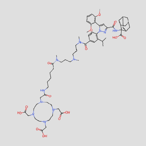 COc1cccc(OC)c1-c1cc(C(=O)NC2(C(=O)O)C3CC4CC(C3)CC2C4)nn1-c1ccc(C(=O)N(C)CCCN(C)CCCN(C)C(=O)CCCCCNC(=O)CN2CCN(CC(=O)O)CCN(CC(=O)O)CCN(CC(=O)O)CC2)cc1C(C)C